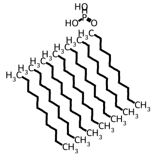 CCCCCCCCCC.CCCCCCCCCC.CCCCCCCCCC.CCCCCCCCCC.CCCCCCCCCC.CCCCCCCCCC.CCCCCCCCCC.O=[PH](O)O